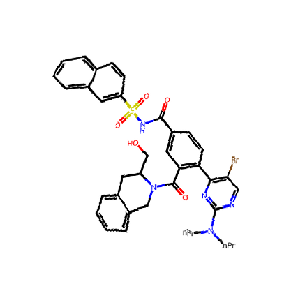 CCCN(CCC)c1ncc(Br)c(-c2ccc(C(=O)NS(=O)(=O)c3ccc4ccccc4c3)cc2C(=O)N2Cc3ccccc3CC2CO)n1